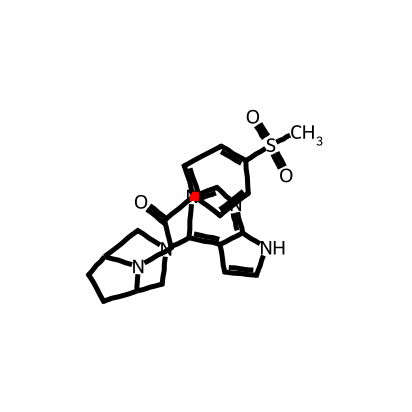 CS(=O)(=O)c1ccc(C(=O)CN2C3CCC2CN(c2ncnc4[nH]ccc24)C3)cc1